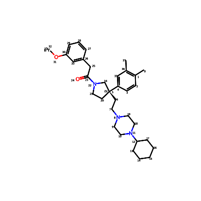 Cc1ccc([C@]2(CCN3CCN(C4CCCCC4)CC3)CCN(C(=O)Cc3cccc(OC(C)C)c3)C2)cc1C